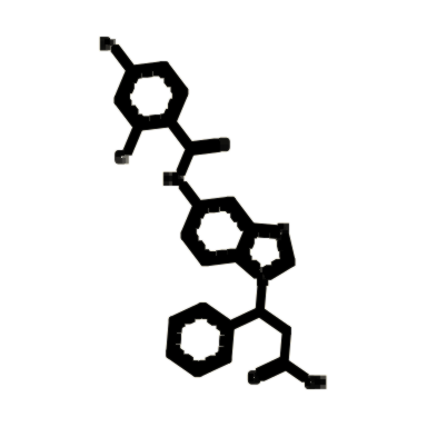 O=C(O)CC(c1ccccc1)n1cnc2cc(NC(=O)c3ccc(Br)cc3Cl)ccc21